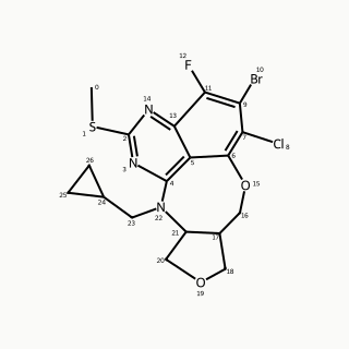 CSc1nc2c3c(c(Cl)c(Br)c(F)c3n1)OCC1COCC1N2CC1CC1